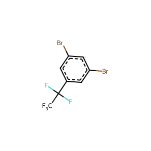 FC(F)(F)C(F)(F)c1cc(Br)[c]c(Br)c1